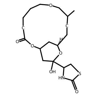 CC1CC[C@@H]2CC(CC(O)(C3CSC(=O)N3)O2)OC(=O)CCCCOC1